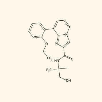 C[C@@](CO)(NC(=O)c1cn2cccc(-c3ccccc3OCC(F)(F)F)c2n1)C(F)(F)F